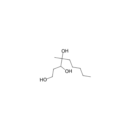 CCCCCC(C)(O)C(O)CCO